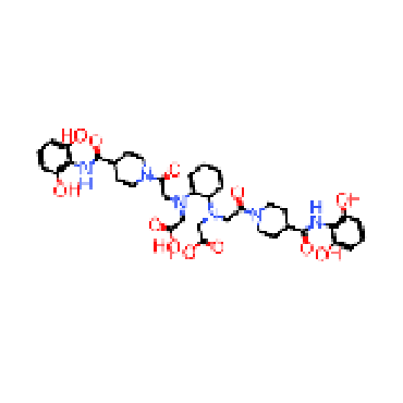 O=C(O)CN(CC(=O)N1CCC(C(=O)Nc2c(O)cccc2O)CC1)C1CCCCC1N(CC(=O)O)CC(=O)N1CCC(C(=O)Nc2c(O)cccc2O)CC1